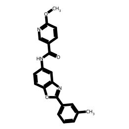 COc1ccc(C(=O)Nc2ccc3oc(-c4cccc(C)c4)nc3c2)cn1